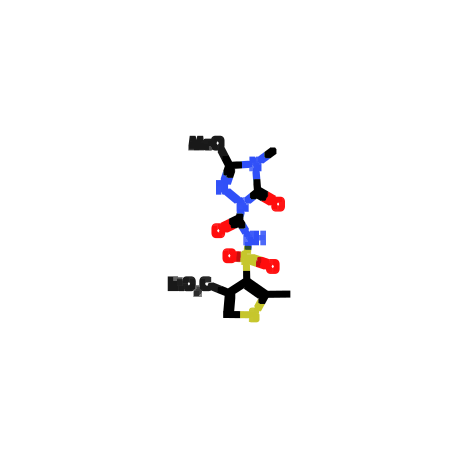 CCOC(=O)c1csc(C)c1S(=O)(=O)NC(=O)n1nc(OC)n(C)c1=O